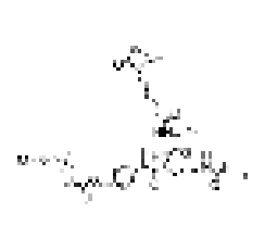 CNCC(C)(C)CN(C)C(=O)OCc1ccc(NC(=O)[C@H](CCCNC(N)=O)NC(=O)[C@@H](NC(=O)CCCCCN2C(=O)C=CC2=O)C(C)C)cc1